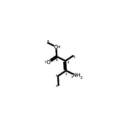 CCC(N)=C(C)C(=O)OC